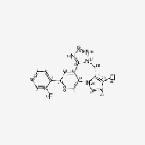 Fc1ccccc1-c1ccc2c(c1)-c1ncnn1Cc1c(Cl)ncn1-2